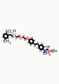 Cc1ccc(S(=O)(=O)O)c(CCOCCOCCOc2ccc(/C=C/c3ccc(N(C)C(=O)OC(C)(C)C)cc3)cc2)c1